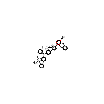 CC1(C)c2ccccc2-c2ccc(N(c3ccccc3)c3ccc4c(c3)C(C)(C)c3cc(-c5ccc(C#N)c6c5C5c7ccccc7C6c6ccccc65)ccc3-4)cc21